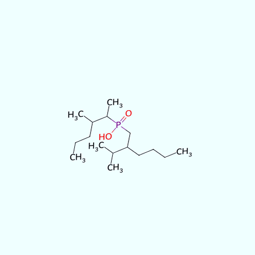 CCCCC(CP(=O)(O)C(C)C(C)CCC)C(C)C